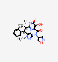 C[C@@H](c1nc(C(=O)Nc2cnoc2)c(O)c(=O)n1C)[C@H](c1ccccc1C#N)c1ccnn1C